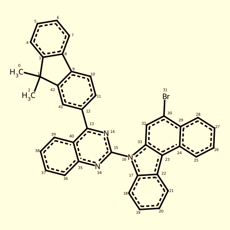 CC1(C)c2ccccc2-c2ccc(-c3nc(-n4c5ccccc5c5c6ccccc6c(Br)cc54)nc4ccccc34)cc21